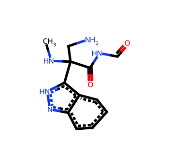 CNC(CN)(C(=O)NC=O)c1[nH]nc2ccccc12